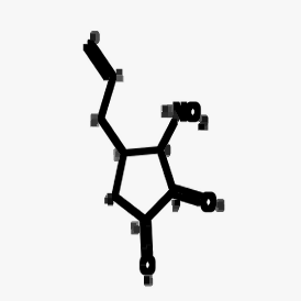 C=CCC1CC(=O)C(=O)C1[N+](=O)[O-]